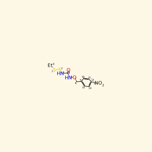 CCSSNC(=O)NOCc1ccc([N+](=O)[O-])cc1